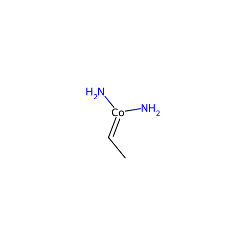 C[CH]=[Co]([NH2])[NH2]